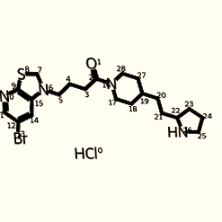 Cl.O=C(CCCN1CSc2ncc(Br)cc21)N1CCC(CCC2CCCN2)CC1